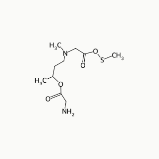 CSOC(=O)CN(C)CCC(C)OC(=O)CN